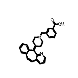 O=C(O)c1cccc(CN2CCC(=C3c4ccccc4C=Cc4cccnc43)CC2)c1